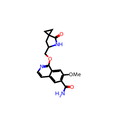 COc1cc2c(OCC3CC4(CC4)C(=O)N3)nccc2cc1C(N)=O